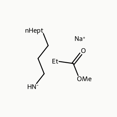 CCC(=O)OC.CCCCCCCCCC[NH-].[Na+]